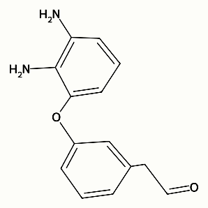 Nc1cccc(Oc2cccc(CC=O)c2)c1N